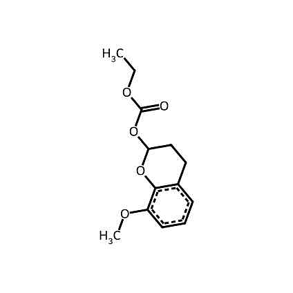 CCOC(=O)OC1CCc2cccc(OC)c2O1